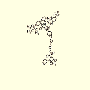 CC(C)N(C)[C@@H]1CC[C@H](N2CC[C@H](Nc3ncnc4ccc(C(F)(F)F)cc34)C2=O)[C@H](NC(=O)c2cnn(C3CCN(CCOCCOCCNC(=O)[C@H]4CC(=O)N(C)[C@@H]4c4cccnc4)CC3)c2)C1